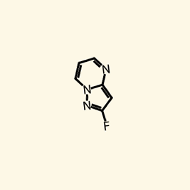 Fc1cc2ncccn2n1